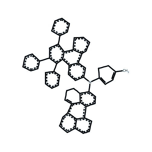 CC1=CC=C(N(c2ccc3c(c2)c2ccccc2c2c(-c4ccccc4)cc(-c4ccccc4)c(-c4ccccc4)c32)c2ccc3c4c2CCC=c4c2cccc4cccc3c42)CC1